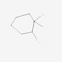 NC1CCCC[C]1(N)[Pt]